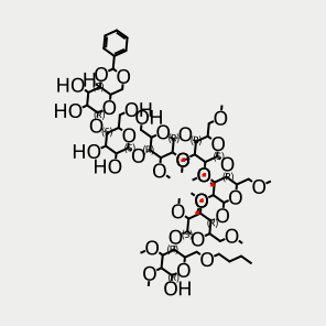 CCCCOCC1O[C@@H](O)C(OC)C(OC)[C@@H]1O[C@@H]1OC(COC)[C@@H](OC2OC(COC)[C@@H](O[C@@H]3OC(COC)[C@@H](O[C@H]4OC(CO)[C@@H](O[C@@H]5OC(CO)[C@@H](O[C@H]6OC7COC(c8ccccc8)O[C@H]7C(O)C6O)C(O)C5O)C(OC)C4OC)C(OC)C3OC)C(OC)C2OC)C(OC)C1OC